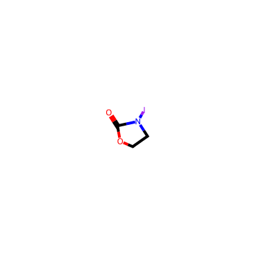 O=C1OCCN1I